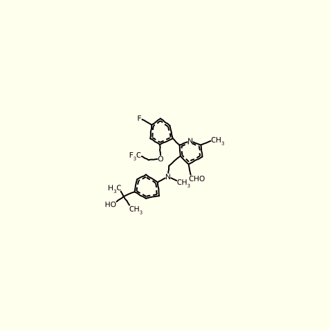 Cc1cc(C=O)c(CN(C)c2ccc(C(C)(C)O)cc2)c(-c2ccc(F)cc2OCC(F)(F)F)n1